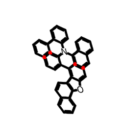 c1ccc(-c2ccccc2N(c2ccccc2-c2cccc3oc4c5ccccc5ccc4c23)c2cccc3ccccc23)cc1